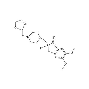 COc1cc2c(cc1OC)C(=O)C(F)(CC1CCN(CC3OCCO3)CC1)C2